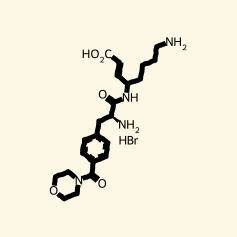 Br.NCCCCC(C=CC(=O)O)NC(=O)[C@@H](N)Cc1ccc(C(=O)N2CCOCC2)cc1